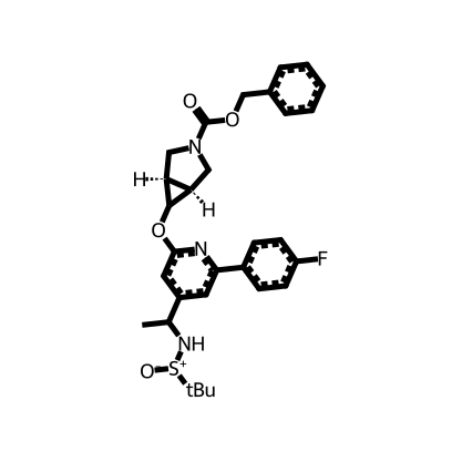 CC(N[S+]([O-])C(C)(C)C)c1cc(OC2[C@H]3CN(C(=O)OCc4ccccc4)C[C@@H]23)nc(-c2ccc(F)cc2)c1